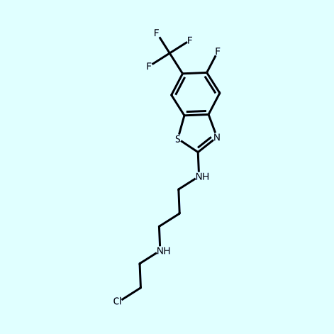 Fc1cc2nc(NCCCNCCCl)sc2cc1C(F)(F)F